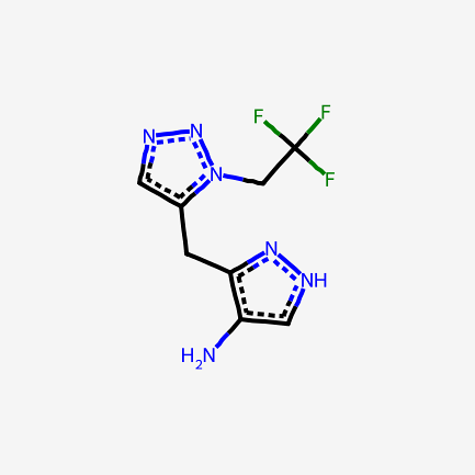 Nc1c[nH]nc1Cc1cnnn1CC(F)(F)F